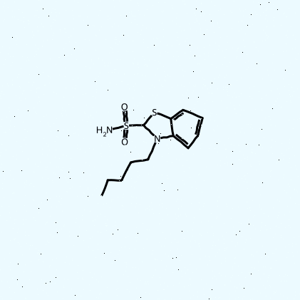 CCCCCN1c2ccccc2SC1S(N)(=O)=O